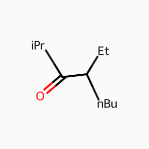 CCCCC(CC)C(=O)C(C)C